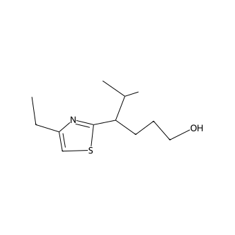 CCc1csc(C(CCCO)C(C)C)n1